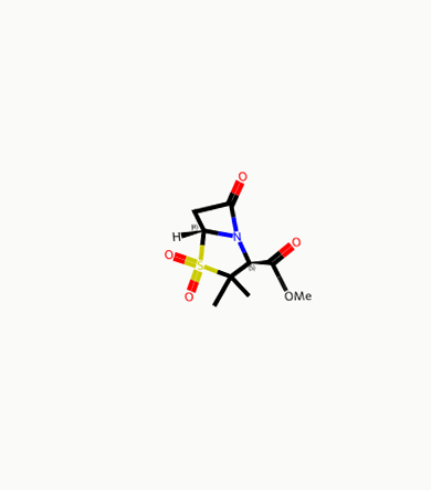 COC(=O)[C@@H]1N2C(=O)C[C@H]2S(=O)(=O)C1(C)C